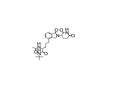 CC(=O)N[C@@H](CCCc1cccc2c1CN(C1CCC(=O)NC1=O)C2=O)C(=O)NC(C)(C)C